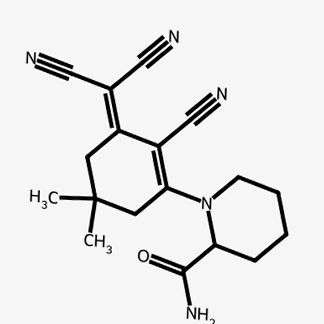 CC1(C)CC(=C(C#N)C#N)C(C#N)=C(N2CCCCC2C(N)=O)C1